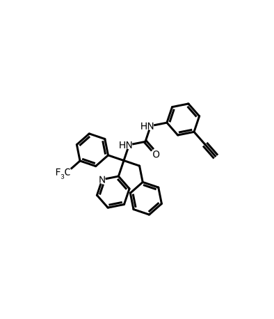 C#Cc1cccc(NC(=O)NC(Cc2ccccc2)(c2cccc(C(F)(F)F)c2)c2ccccn2)c1